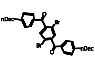 CCCCCCCCCCc1ccc(C(=O)c2cc(Br)c(C(=O)c3ccc(CCCCCCCCCC)cc3)cc2Br)cc1